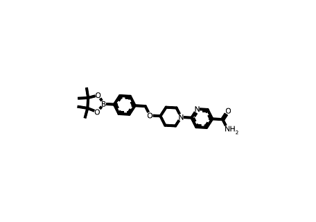 CC1(C)OB(c2ccc(COC3CCN(c4ccc(C(N)=O)cn4)CC3)cc2)OC1(C)C